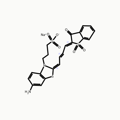 Nc1ccc2c(c1)S/C(=C/C=C/C=C1/C(=O)c3ccccc3S1(=O)=O)N2CCCS(=O)(=O)[O-].[Na+]